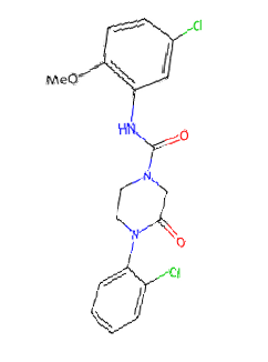 COc1ccc(Cl)cc1NC(=O)N1CCN(c2ccccc2Cl)C(=O)C1